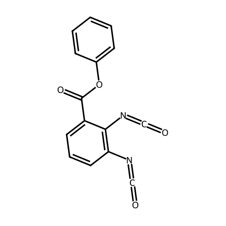 O=C=Nc1cccc(C(=O)Oc2ccccc2)c1N=C=O